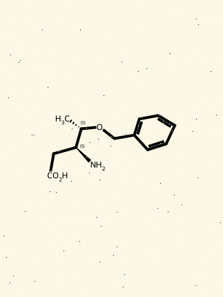 C[C@H](OCc1ccccc1)[C@@H](N)CC(=O)O